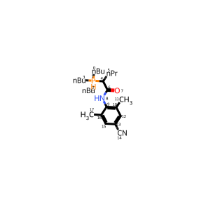 CCCC[PH](CCCC)(CCCC)C(CCC)C(=O)Nc1c(C)cc(C#N)cc1C